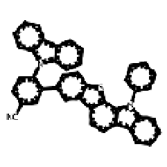 N#Cc1ccc(-n2c3ccccc3c3ccccc32)c(-c2ccc3sc4c(ccc5c6ccccc6n(-c6ccccc6)c54)c3c2)c1